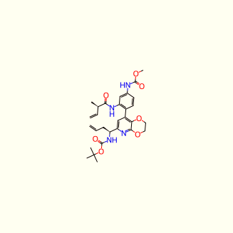 C=CC[C@H](NC(=O)OC(C)(C)C)c1cc(-c2ccc(NC(=O)OC)cc2NC(=O)[C@H](C)C=C)c2c(n1)OCCO2